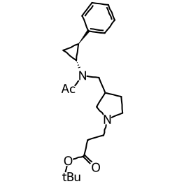 CC(=O)N(CC1CCN(CCC(=O)OC(C)(C)C)C1)[C@@H]1C[C@H]1c1ccccc1